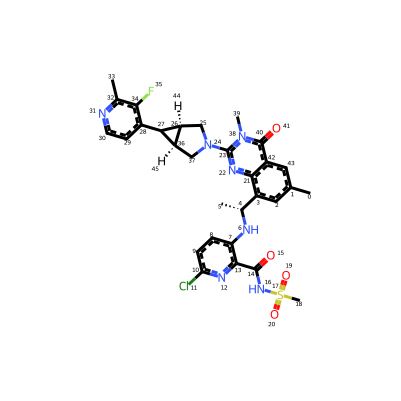 Cc1cc([C@@H](C)Nc2ccc(Cl)nc2C(=O)NS(C)(=O)=O)c2nc(N3C[C@@H]4C(c5ccnc(C)c5F)[C@@H]4C3)n(C)c(=O)c2c1